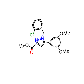 COC(=O)c1cc(-c2cc(OC)cc(OC)c2)n(Cc2ccccc2Cl)n1